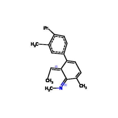 C/C=C1/C(c2ccc(C(C)C)c(C)c2)=CC=C(C)/C1=N/C